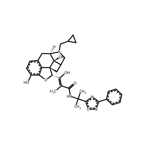 C/C(C(=O)NC(C)(C)c1nc(-c2ccccc2)no1)=C(/O)[C@@H]1Oc2c(O)ccc3c2[C@@]12CC1CN(CC4CC4)[C@H](C3)[C@]12O